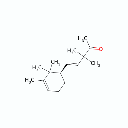 CC(=O)C(C)(C)C=C[C@H]1CCC=C(C)C1(C)C